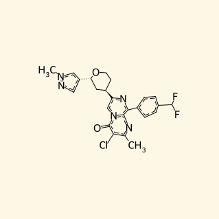 Cc1nc2c(-c3ccc(C(F)F)cc3)nc([C@@H]3CCO[C@@H](c4cnn(C)c4)C3)cn2c(=O)c1Cl